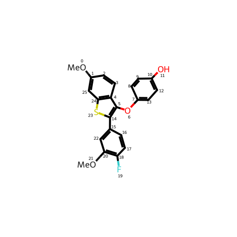 COc1ccc2c(Oc3ccc(O)cc3)c(-c3ccc(F)c(OC)c3)sc2c1